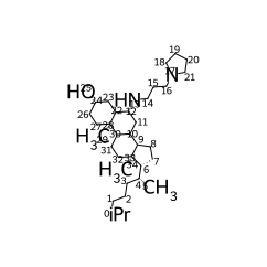 CC(C)CCC[C@@H](C)[C@H]1CCC2C3C[C@@H](NCCCN4CCCC4)C4C[C@@H](O)CC[C@]4(C)C3CC[C@@]21C